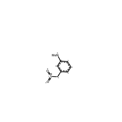 CNc1cccc(C[SH](=O)=O)c1